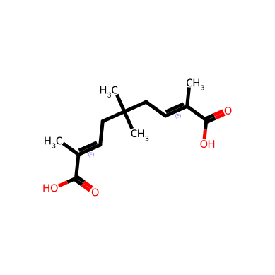 C/C(=C\CC(C)(C)C/C=C(\C)C(=O)O)C(=O)O